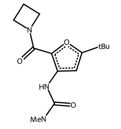 CNC(=O)Nc1cc(C(C)(C)C)oc1C(=O)N1CCC1